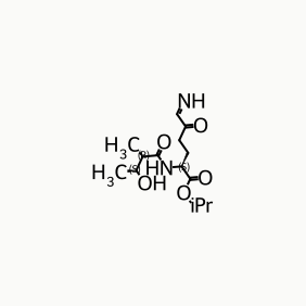 CC(C)OC(=O)[C@H](CCC(=O)C=N)NC(=O)[C@H](C)[C@H](C)O